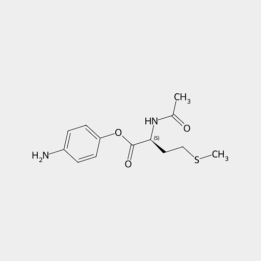 CSCC[C@H](NC(C)=O)C(=O)Oc1ccc(N)cc1